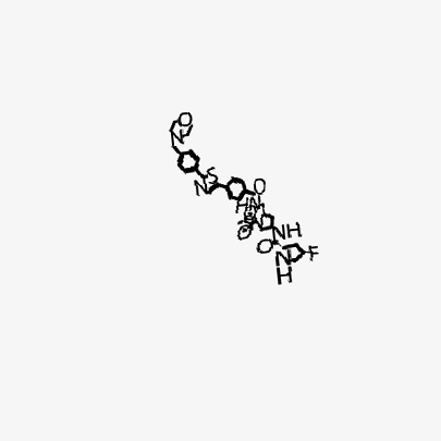 CS(=O)(=O)N1C[C@H](NC(=O)[C@@H]2C[C@H](F)CN2)C[C@@H]1CNC(=O)c1ccc(-c2cnc(-c3ccc(CN4CCOCC4)cc3)s2)cc1